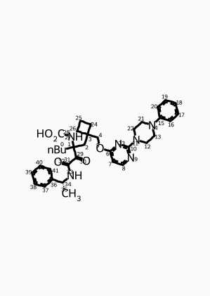 CCCCC(CC1(COc2ccnc(N3CCN(c4ccccc4)CC3)n2)CCC1)(NC(=O)O)C(=O)C(=O)N[C@H](C)c1ccccc1